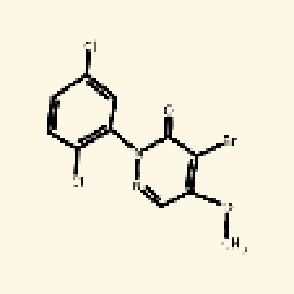 COc1cnn(-c2cc(Cl)ccc2Cl)c(=O)c1Br